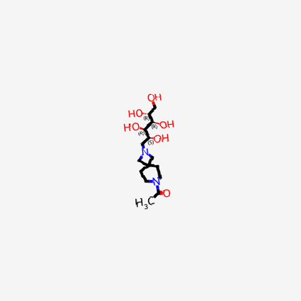 CC(=O)N1CCC2(CC1)CN(C[C@H](O)[C@@H](O)[C@H](O)[C@H](O)CO)C2